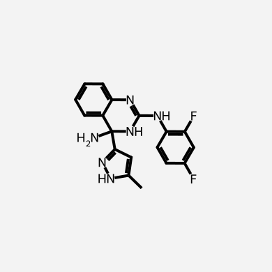 Cc1cc(C2(N)NC(Nc3ccc(F)cc3F)=Nc3ccccc32)n[nH]1